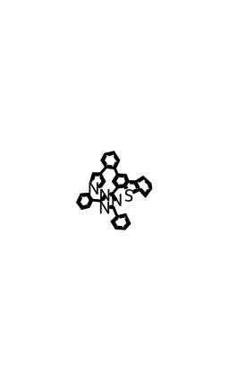 c1ccc(-c2nc(-c3ccccc3)nc(-c3cc(-c4ccccc4-c4ccncc4)cc4c3sc3ccccc34)n2)cc1